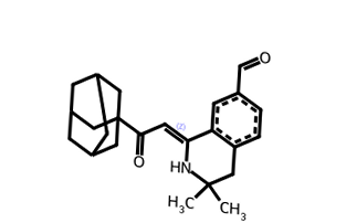 CC1(C)Cc2ccc(C=O)cc2/C(=C/C(=O)C23CC4CC(CC(C4)C2)C3)N1